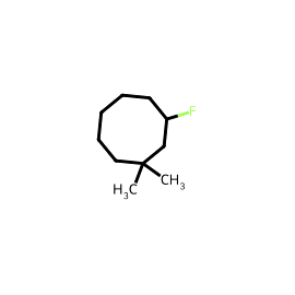 CC1(C)CCCCCC(F)C1